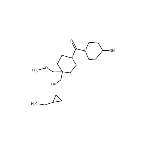 CCC1C[C@H]1NCC1(COC)CCN(C(=O)N2CCC(O)CC2)CC1